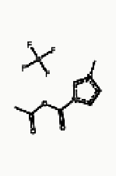 CC(=O)OC(=O)[n+]1ccn(C)c1.F[B-](F)(F)F